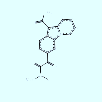 COC(=O)c1c2ccc(C(=O)C(=O)N(C)OC)cc2n2ccccc12